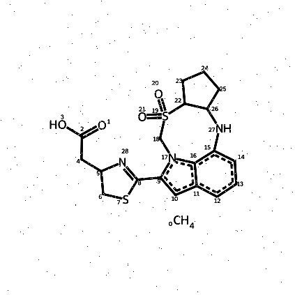 C.O=C(O)CC1CSC(c2cc3cccc4c3n2CS(=O)(=O)C2CCCC2N4)=N1